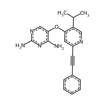 CC(C)c1cnc(C#Cc2ccccc2)cc1Oc1cnc(N)nc1N